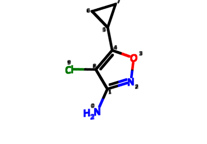 Nc1noc(C2CC2)c1Cl